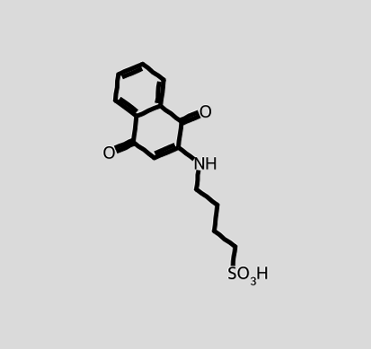 O=C1C=C(NCCCCS(=O)(=O)O)C(=O)c2ccccc21